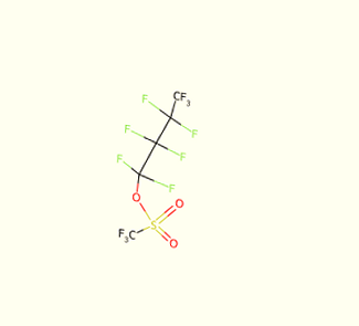 O=S(=O)(OC(F)(F)C(F)(F)C(F)(F)C(F)(F)F)C(F)(F)F